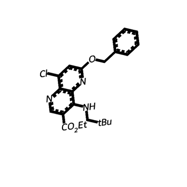 CCOC(=O)c1cnc2c(Cl)cc(OCc3ccccc3)nc2c1NCC(C)(C)C